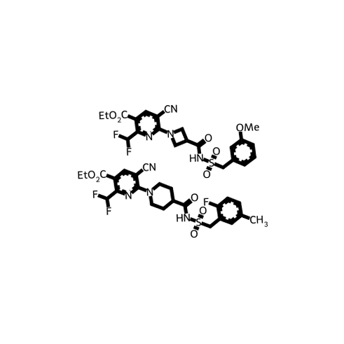 CCOC(=O)c1cc(C#N)c(N2CC(C(=O)NS(=O)(=O)Cc3cccc(OC)c3)C2)nc1C(F)F.CCOC(=O)c1cc(C#N)c(N2CCC(C(=O)NS(=O)(=O)Cc3cc(C)ccc3F)CC2)nc1C(F)F